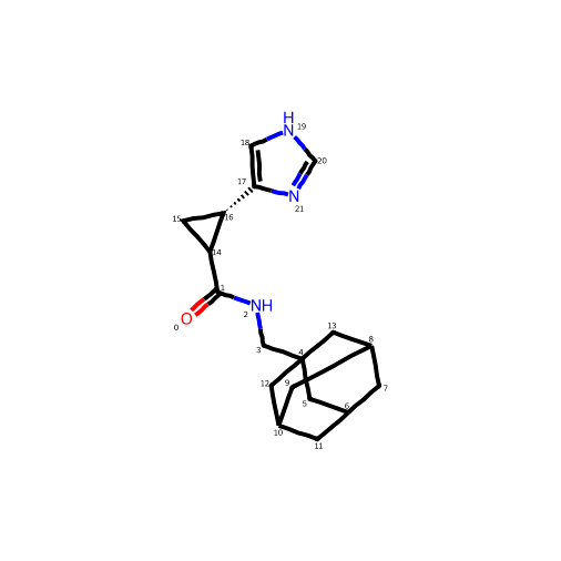 O=C(NCC12CC3CC(CC(C3)C1)C2)C1C[C@@H]1c1c[nH]cn1